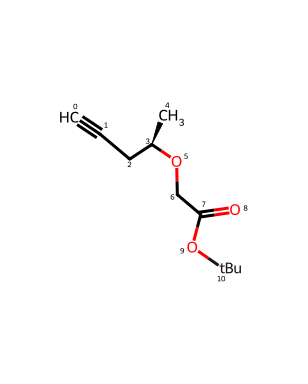 C#CC[C@@H](C)OCC(=O)OC(C)(C)C